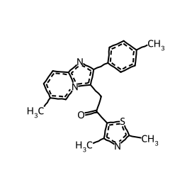 Cc1ccc(-c2nc3ccc(C)cn3c2CC(=O)c2sc(C)nc2C)cc1